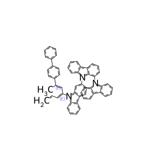 C=C/C=C(\C=C(/C)c1ccc(-c2ccccc2)cc1)n1c2ccccc2c2ccc(-n3c4ccccc4c4cccc(-n5c6ccccc6c6ccccc65)c43)cc21